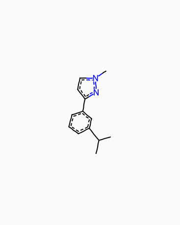 CC(C)c1cccc(-c2ccn(C)n2)c1